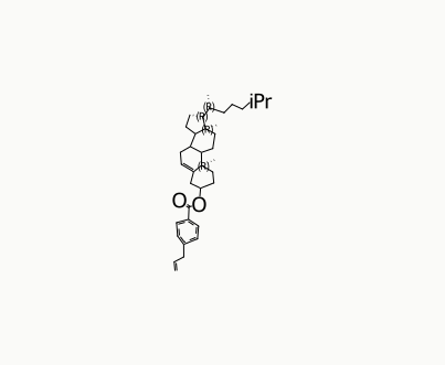 C=CCc1ccc(C(=O)OC2CC[C@@]3(C)C(=CCC4C3CC[C@@]3(C)C4CC[C@@H]3[C@H](C)CCCC(C)C)C2)cc1